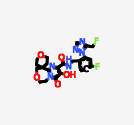 O=C(NCc1ccc(F)cc1-n1ncnc1CF)c1nc2n(c(=O)c1O)CCOCC21CCOCC1